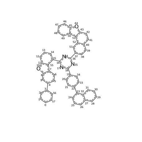 c1ccc(-c2ccc3c(c2)oc2cccc(-c4nc(-c5ccc(-c6cccc7ccccc67)cc5)nc(-c5ccc6ccc7oc8ccccc8c7c6c5)n4)c23)cc1